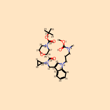 COC(=O)N(C)CCCn1cc(CN(C(=O)[C@H]2CN(C(=O)OC(C)(C)C)CCO2)C2CC2)c2ccccc21